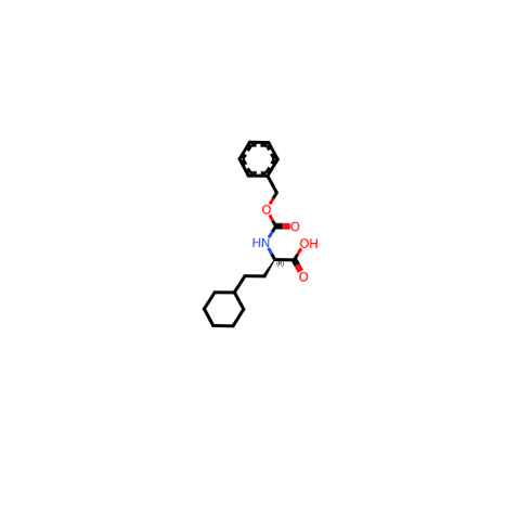 O=C(N[C@H](CCC1CCCCC1)C(=O)O)OCc1ccccc1